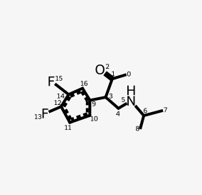 CC(=O)C(CNC(C)C)c1ccc(F)c(F)c1